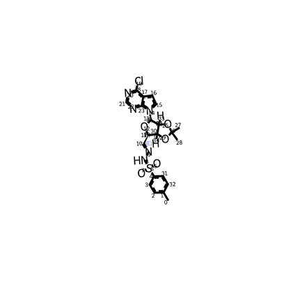 Cc1ccc(S(=O)(=O)N/N=C/[C@H]2O[C@@H](n3ccc4c(Cl)ncnc43)[C@@H]3OC(C)(C)O[C@@H]32)cc1